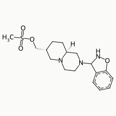 CS(=O)(=O)OC[C@@H]1CC[C@H]2CN(C3NOc4ccccc43)CCN2C1